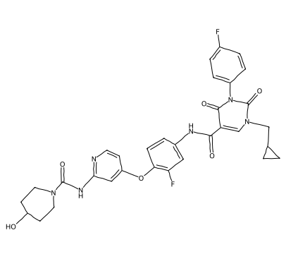 O=C(Nc1ccc(Oc2ccnc(NC(=O)N3CCC(O)CC3)c2)c(F)c1)c1cn(CC2CC2)c(=O)n(-c2ccc(F)cc2)c1=O